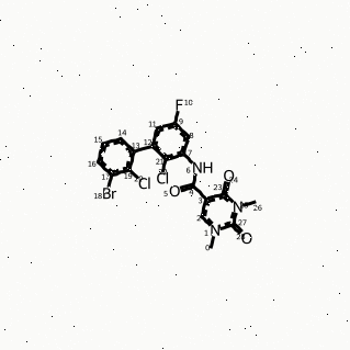 Cn1cc(C(=O)Nc2cc(F)cc(-c3cccc(Br)c3Cl)c2Cl)c(=O)n(C)c1=O